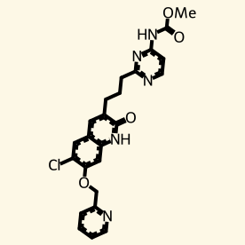 COC(=O)Nc1ccnc(CCCc2cc3cc(Cl)c(OCc4ccccn4)cc3[nH]c2=O)n1